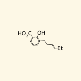 CC/C=C/CCc1cccc(C(=O)O)c1O